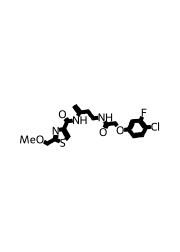 C=C(CCNC(=O)COc1ccc(Cl)c(F)c1)NC(=O)c1csc(COC)n1